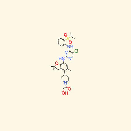 Cc1cc(Nc2ncc(Cl)c(Nc3ccccc3S(=O)(=O)C(C)C)n2)c2c(c1C1CCN(C(=O)CO)CC1)C[C@@H](C)O2